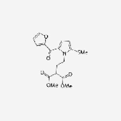 COC(=O)C(CCn1c(SC)ccc1C(=O)c1ccco1)C(=O)OC